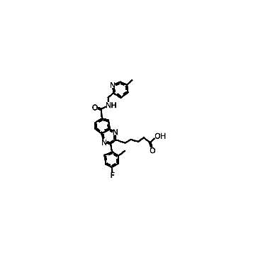 Cc1ccc(CNC(=O)c2ccc3nc(-c4ccc(F)cc4C)c(CCCCC(=O)O)nc3c2)nc1